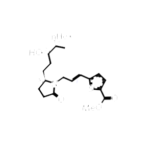 CCCCCC[C@H](C)[C@@H](O)CC[C@@H]1CCC(=O)N1C/C=C/c1ccc(C(=O)OC)s1